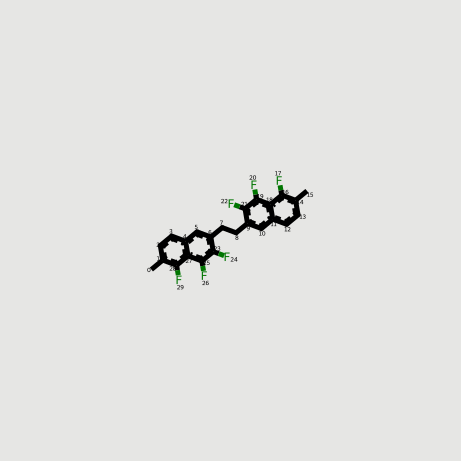 Cc1ccc2cc(CCc3cc4ccc(C)c(F)c4c(F)c3F)c(F)c(F)c2c1F